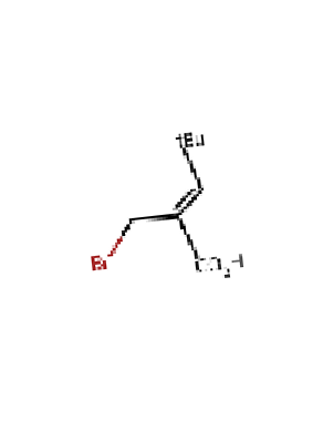 CC(C)(C)C=C(CBr)C(=O)O